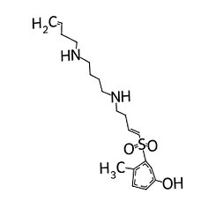 C=CCCNCCCCNCCC=CS(=O)(=O)c1cc(O)ccc1C